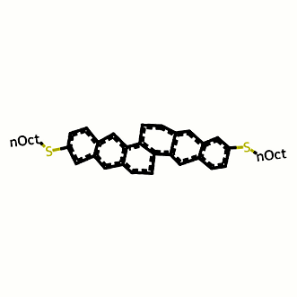 CCCCCCCCSc1ccc2cc3c(ccc4c5cc6ccc(SCCCCCCCC)cc6cc5ccc34)cc2c1